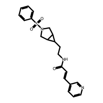 O=C(/C=C/c1cccnc1)NCCC1C2CN(S(=O)(=O)c3ccccc3)CC12